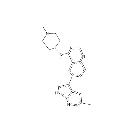 Cc1cnc2[nH]cc(-c3ccc4ncnc(NC5CCN(C)CC5)c4c3)c2c1